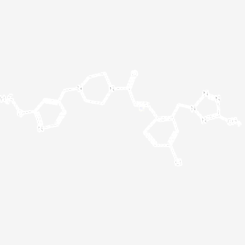 COc1cc(CN2CCN(C(=O)/C=C/c3ccc(Cl)cc3Cn3nnc(C)n3)CC2)ccn1